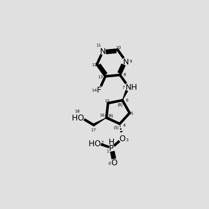 O=[PH](O)O[C@H]1C[C@H](Nc2ncncc2F)C[C@@H]1CO